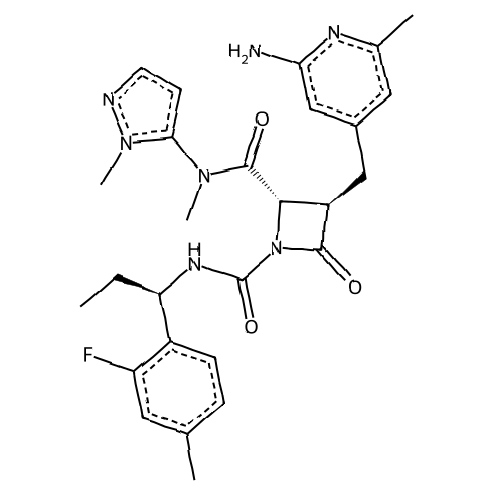 CC[C@@H](NC(=O)N1C(=O)[C@H](Cc2cc(C)nc(N)c2)[C@H]1C(=O)N(C)c1ccnn1C)c1ccc(C)cc1F